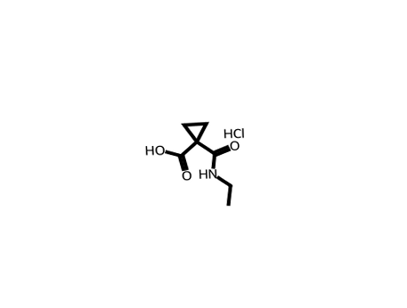 CCNC(=O)C1(C(=O)O)CC1.Cl